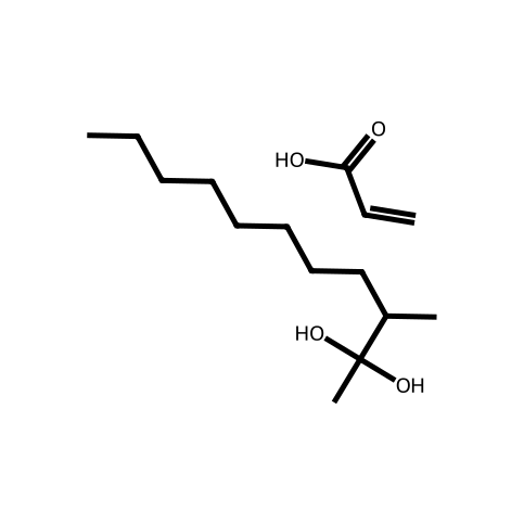 C=CC(=O)O.CCCCCCCCC(C)C(C)(O)O